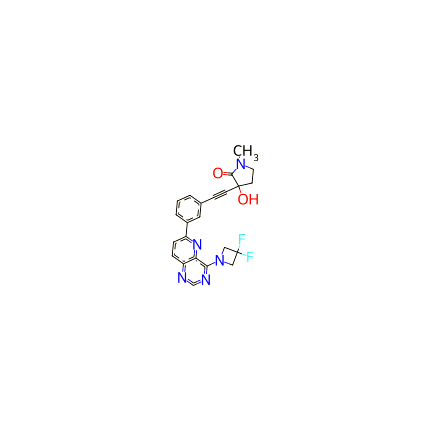 CN1CCC(O)(C#Cc2cccc(-c3ccc4ncnc(N5CC(F)(F)C5)c4n3)c2)C1=O